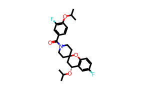 CC(C)Oc1ccc(C(=O)N2CCC3(CC2)C[C@@H](OC(C)C)c2cc(F)ccc2O3)cc1F